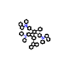 c1ccc(-c2cc(-c3ccc(N(c4ccccc4)c4cccc5ccccc45)cc3)c3c4ccc(N(c5ccccc5)c5ccccc5)cc4c4cc(-c5cc6ccccc6c6ccccc56)ccc4c3c2-c2ccc(N(c3ccccc3)c3cccc4ccccc34)cc2)cc1